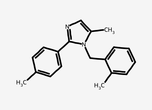 Cc1ccc(-c2ncc(C)n2Cc2ccccc2C)cc1